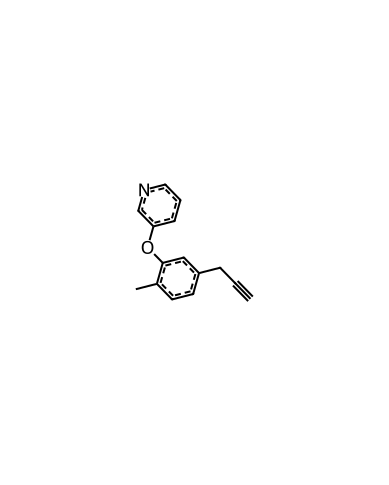 C#CCc1ccc(C)c(Oc2cccnc2)c1